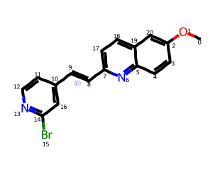 COc1ccc2nc(/C=C/c3ccnc(Br)c3)ccc2c1